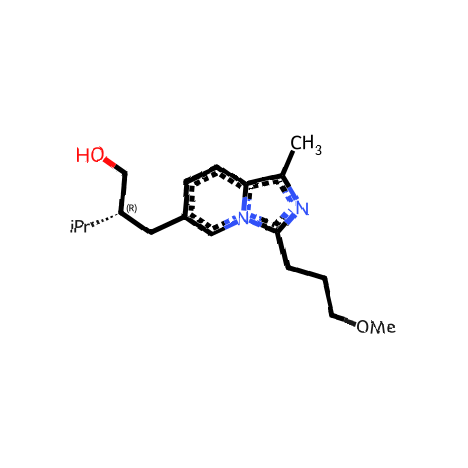 COCCCc1nc(C)c2ccc(C[C@@H](CO)C(C)C)cn12